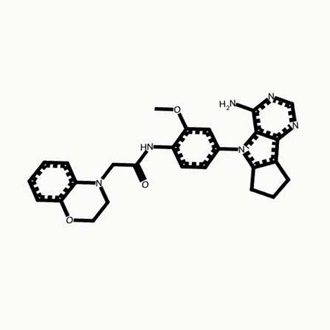 COc1cc(-n2c3c(c4ncnc(N)c42)CCC3)ccc1NC(=O)CN1CCOc2ccccc21